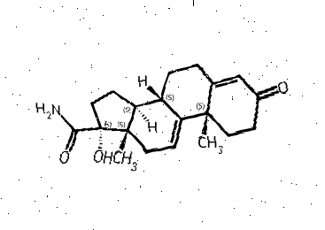 C[C@]12CCC(=O)C=C1CC[C@@H]1C2=CC[C@@]2(C)[C@H]1CC[C@]2(O)C(N)=O